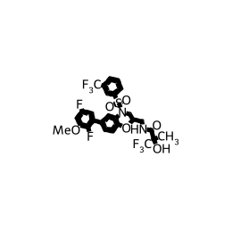 COc1cc(F)cc(-c2ccc3c(c2)N(S(=O)(=O)c2cccc(C(F)(F)F)c2)CC(CNC(=O)C(C)(O)C(F)(F)F)O3)c1F